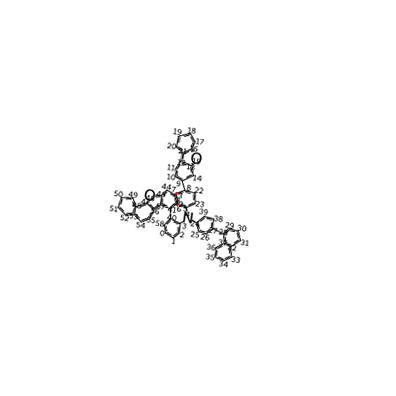 c1ccc(N(c2ccc(-c3ccc4c(c3)oc3ccccc34)cc2)c2ccc(-c3cccc4ccccc34)cc2)c(-c2cccc3oc4c5ccccc5ccc4c23)c1